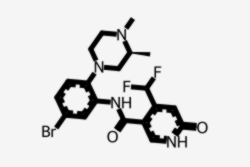 C[C@H]1CN(c2ccc(Br)cc2NC(=O)c2c[nH]c(=O)cc2C(F)F)CCN1C